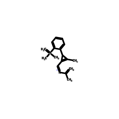 C=C(C)/N=C\C1=C(C)C1c1ccccc1P(=C)(C)C